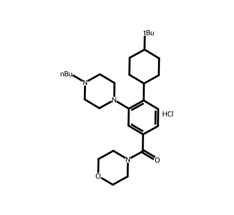 CCCCN1CCN(c2cc(C(=O)N3CCOCC3)ccc2C2CCC(C(C)(C)C)CC2)CC1.Cl